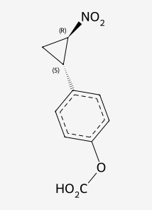 O=C(O)Oc1ccc([C@@H]2C[C@H]2[N+](=O)[O-])cc1